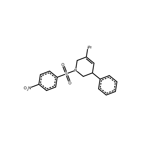 CC(C)C1=CC(c2ccccc2)CN(S(=O)(=O)c2ccc([N+](=O)[O-])cc2)C1